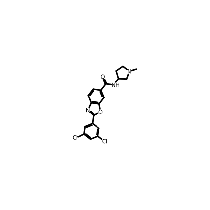 CN1CCC(NC(=O)c2ccc3nc(-c4cc(Cl)cc(Cl)c4)oc3c2)C1